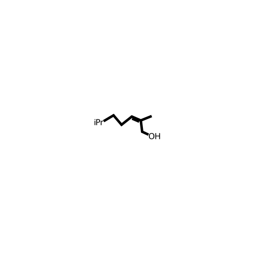 CC(=CCCC(C)C)CO